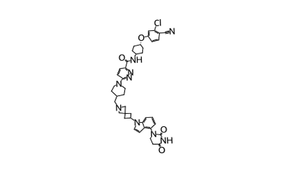 N#Cc1ccc(O[C@H]2CC[C@H](NC(=O)c3ccc(N4CCC(CN5CC6(CC(n7ccc8c(N9CCC(=O)NC9=O)cccc87)C6)C5)CC4)nn3)CC2)cc1Cl